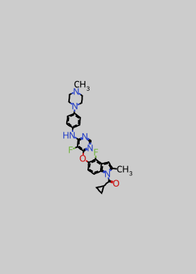 Cc1cc2c(F)c(Oc3ncnc(Nc4ccc(N5CCN(C)CC5)cc4)c3F)ccc2n1C(=O)C1CC1